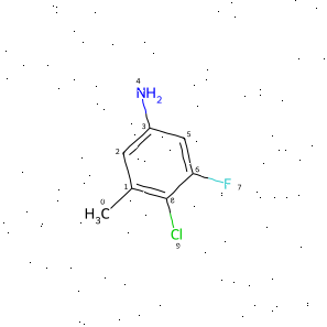 Cc1cc(N)cc(F)c1Cl